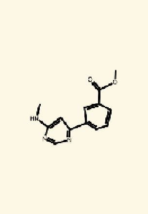 CNc1cc(-c2cccc(C(=O)OC)c2)ncn1